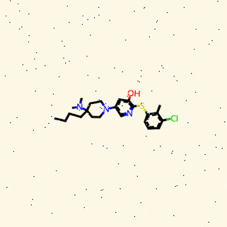 CCCCC1(N(C)C)CCN(c2cnc(Sc3cccc(Cl)c3C)c(O)c2)CC1